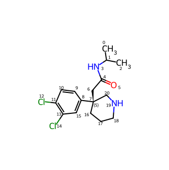 CC(C)NC(=O)C[C@]1(c2ccc(Cl)c(Cl)c2)CCCNC1